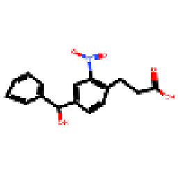 O=C(O)CCc1ccc(C(O)c2ccccc2)cc1[N+](=O)[O-]